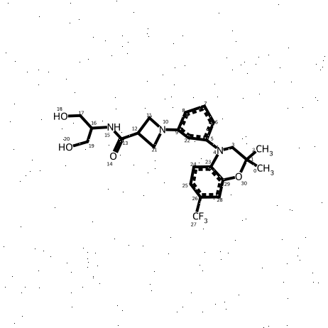 CC1(C)CN(c2cccc(N3CC(C(=O)NC(CO)CO)C3)c2)c2ccc(C(F)(F)F)cc2O1